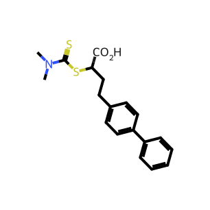 CN(C)C(=S)SC(CCc1ccc(-c2ccccc2)cc1)C(=O)O